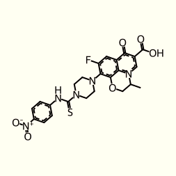 CC1COc2c(N3CCN(C(=S)Nc4ccc([N+](=O)[O-])cc4)CC3)c(F)cc3c(=O)c(C(=O)O)cn1c23